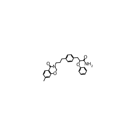 Cc1ccc2c(c1)OCN(CCCc1ccc(CC(Oc3ccccc3)C(N)=O)cc1)C2=O